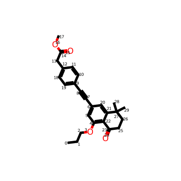 CCCOc1cc(C#Cc2ccc(CC(=O)OC)cc2)cc2c1C(=O)CCC2(C)C